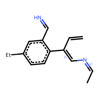 C=C/C(=C\N=C/C)c1ccc(CC)cc1C=N